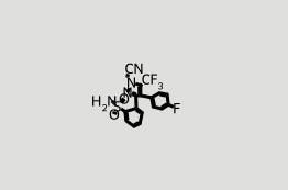 N#CCn1nc(-c2ccccc2S(N)(=O)=O)c(-c2ccc(F)cc2)c1C(F)(F)F